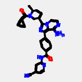 C[C@H]1CC[C@@H](c2nc(-c3ccc(C(=O)Nc4cc(C#N)ccn4)cc3)c3c(N)nccn23)CN1C(=O)C1CC1